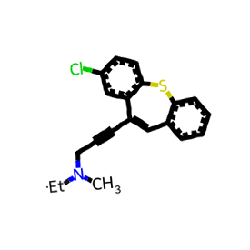 [CH2][CH]N(C)CC#CC1=Cc2ccccc2Sc2ccc(Cl)cc21